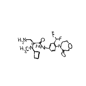 CN(C1CCC1)[C@@H](CN)C(=O)Nc1ccc(N2CCOCC2=O)c(C(F)F)c1